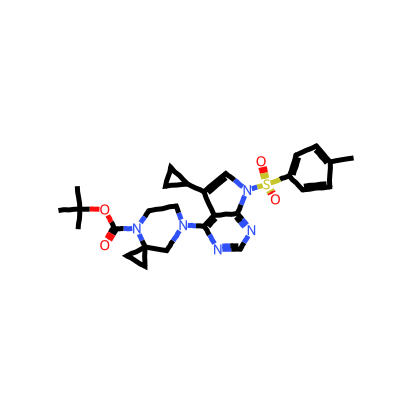 Cc1ccc(S(=O)(=O)n2cc(C3CC3)c3c(N4CCN(C(=O)OC(C)(C)C)C5(CC5)C4)ncnc32)cc1